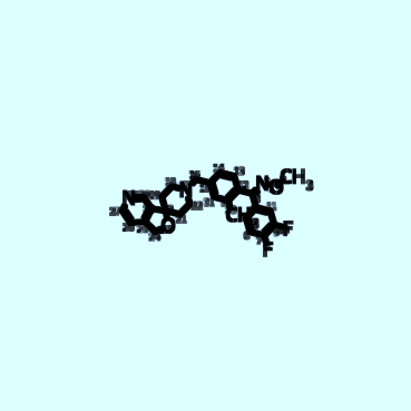 CO/N=C(\c1ccc(F)c(F)c1)c1ccc(CN2CCC3(CC2)OCc2ccncc23)cc1C